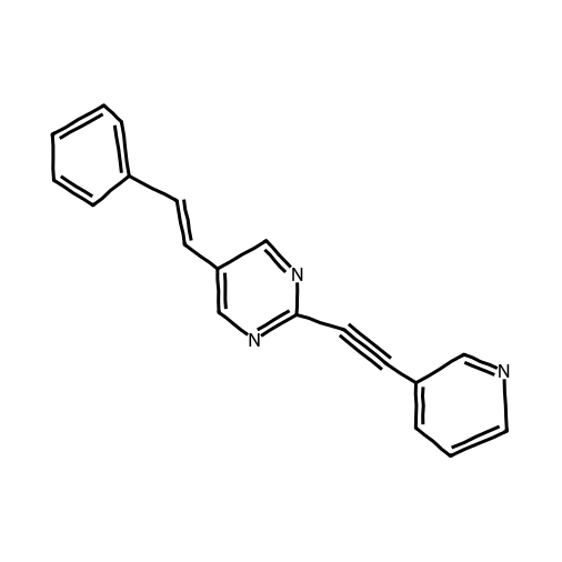 C(#Cc1ncc(C=Cc2ccccc2)cn1)c1cccnc1